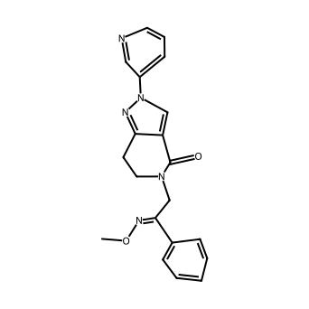 CON=C(CN1CCc2nn(-c3cccnc3)cc2C1=O)c1ccccc1